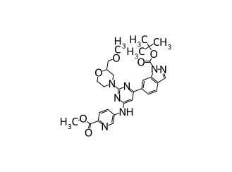 COCC1CN(c2nc(Nc3ccc(C(=O)OC)nc3)cc(-c3ccc4cnn(C(=O)OC(C)(C)C)c4c3)n2)CCO1